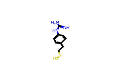 N=C(N)Nc1ccc(CCSS)cc1